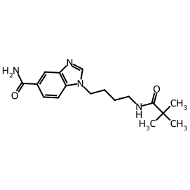 CC(C)(C)C(=O)NCCCCn1cnc2cc(C(N)=O)ccc21